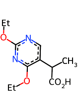 CCOc1ncc(C(C)C(=O)O)c(OCC)n1